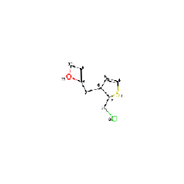 ClCC1SC=CC1CC1CCO1